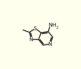 Cc1nc2cncc(N)c2s1